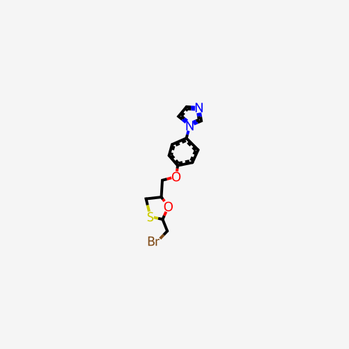 BrCC1OC(COc2ccc(-n3ccnc3)cc2)CS1